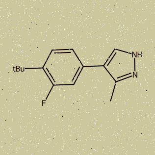 Cc1n[nH]cc1-c1ccc(C(C)(C)C)c(F)c1